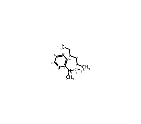 CCCCCC.CN(C)c1bcccc1